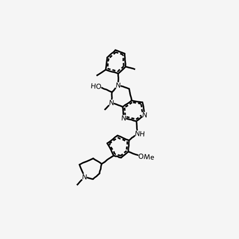 COc1cc(C2CCN(C)CC2)ccc1Nc1ncc2c(n1)N(C)C(O)N(c1c(C)cccc1C)C2